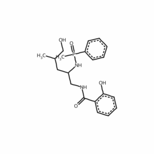 CC(CO)CC(CNC(=O)c1ccccc1O)NP(C)(=O)c1ccccc1